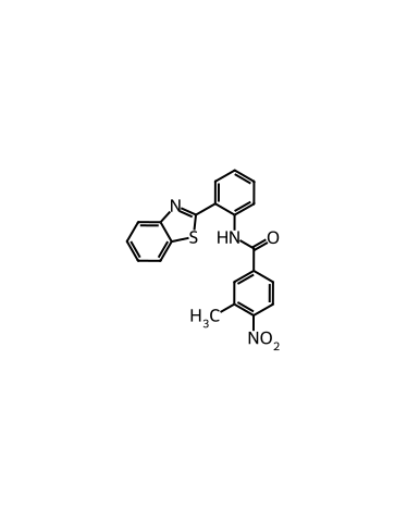 Cc1cc(C(=O)Nc2ccccc2-c2nc3ccccc3s2)ccc1[N+](=O)[O-]